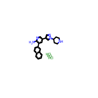 Cl.Cl.Cl.Nc1ncc(-c2cnn(C3CCNCC3)c2)cc1-c1ccc2ccccc2c1